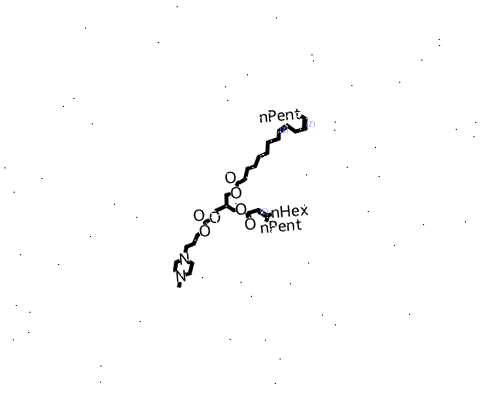 CCCCC/C=C\C/C=C\CCCCCCCC(=O)OCC(COC(=O)/C=C(\CCCCC)CCCCCC)COC(=O)OCCCN1CCN(C)CC1